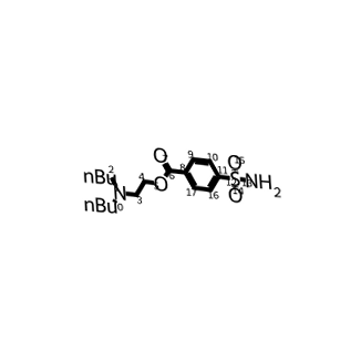 CCCCN(CCCC)CCOC(=O)c1ccc(S(N)(=O)=O)cc1